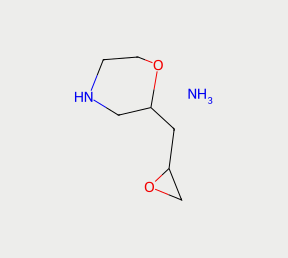 C1COC(CC2CO2)CN1.N